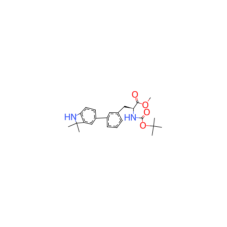 COC(=O)[C@H](Cc1cccc(-c2ccc3c(c2)C(C)(C)N3)c1)NC(=O)OC(C)(C)C